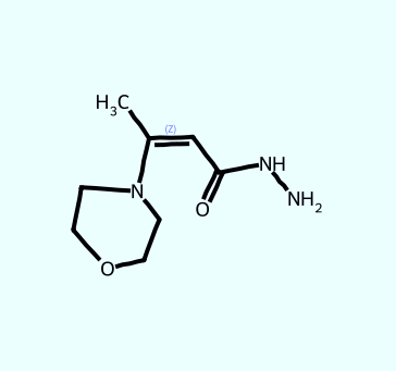 C/C(=C/C(=O)NN)N1CCOCC1